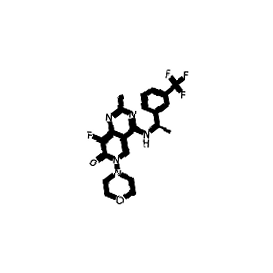 Cc1nc(N[C@H](C)c2cccc(C(F)(F)F)c2)c2cn(N3CCOCC3)c(=O)c(F)c2n1